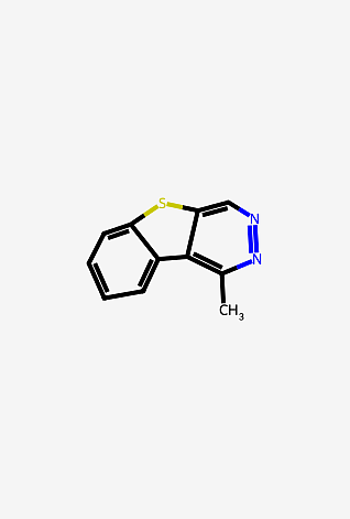 Cc1nncc2sc3ccccc3c12